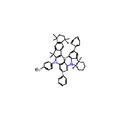 CC(C)(C)c1ccc(N2C3=C(B4c5cc(-c6ccccc6)cc6c5N(c5cc(-c7ccccc7)cc2c54)C2(C)CCCCC62C)c2cc4c(cc2C3(C)C)C(C)(C)CCC4(C)C)cc1